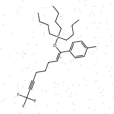 CCCC[Si](CCCC)(CCCC)O/C(=C\CCCC#CC(F)(F)F)c1ccc(C)cc1